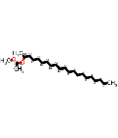 CCCCCCCCCCCCCCCCCCCC(C)OC(C)OC